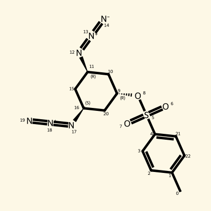 Cc1ccc(S(=O)(=O)O[C@H]2C[C@H](N=[N+]=[N-])C[C@H](N=[N+]=[N-])C2)cc1